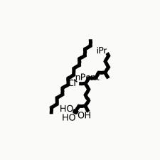 CC(C)CCCC(C)CCCC(C)CCCC(C)CC(O)(O)O.CCCCCCCCCCCCCCCC.CCCCCCl